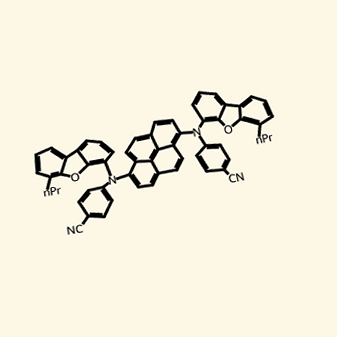 CCCc1cccc2c1oc1c(N(c3ccc(C#N)cc3)c3ccc4ccc5c(N(c6ccc(C#N)cc6)c6cccc7c6oc6c(CCC)cccc67)ccc6ccc3c4c65)cccc12